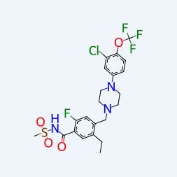 CCc1cc(C(=O)NS(C)(=O)=O)c(F)cc1CN1CCN(c2ccc(OC(F)(F)F)c(Cl)c2)CC1